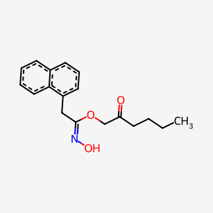 CCCCC(=O)COC(Cc1cccc2ccccc12)=NO